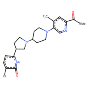 CCc1ccc(C2CCN(C3CCN(c4cnc(C(=O)NC)cc4C(F)(F)F)CC3)C2)[nH]c1=O